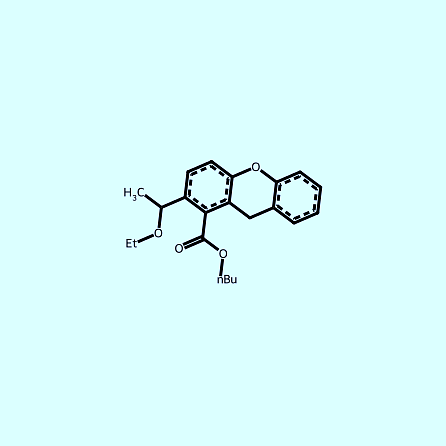 CCCCOC(=O)c1c(C(C)OCC)ccc2c1Cc1ccccc1O2